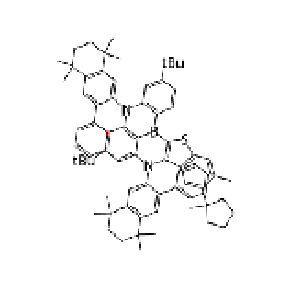 Cc1cc2sc3c(c2cc1C1(C)CCCC1)N(c1cc2c(cc1-c1ccccc1)C(C)(C)CCC2(C)C)c1cc(C(C)(C)C)cc2c1B3c1ccc(C(C)(C)C)cc1N2c1cc2c(cc1C1=CC=CCC1)C(C)(C)CCC2(C)C